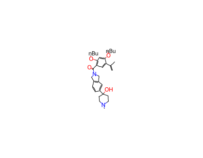 C=C(C)c1cc(C(=O)N2Cc3ccc(C4(O)CCN(C)CC4)cc3C2)c(OCCCC)cc1OCCCC